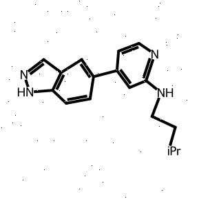 CC(C)CCNc1cc(-c2ccc3[nH]ncc3c2)ccn1